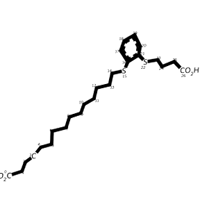 O=C(O)CCCCCCCCCCCCCCSc1ccccc1SCCCC(=O)O